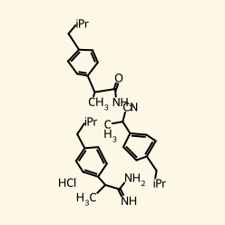 CC(C)Cc1ccc(C(C)C#N)cc1.CC(C)Cc1ccc(C(C)C(=N)N)cc1.CC(C)Cc1ccc(C(C)C(N)=O)cc1.Cl